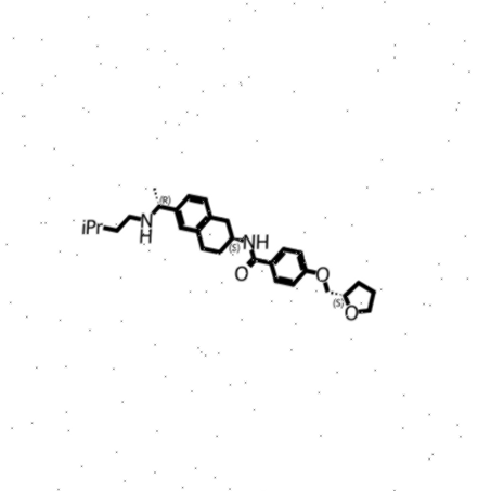 CC(C)CCN[C@H](C)c1ccc2c(c1)CC[C@H](NC(=O)c1ccc(OC[C@@H]3CCCO3)cc1)C2